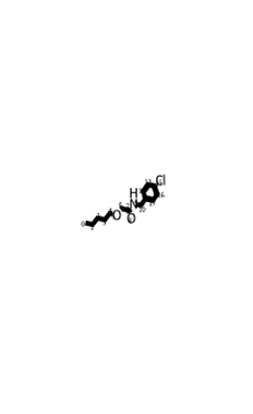 CCCCCOCC(=O)NCc1ccc(Cl)cc1